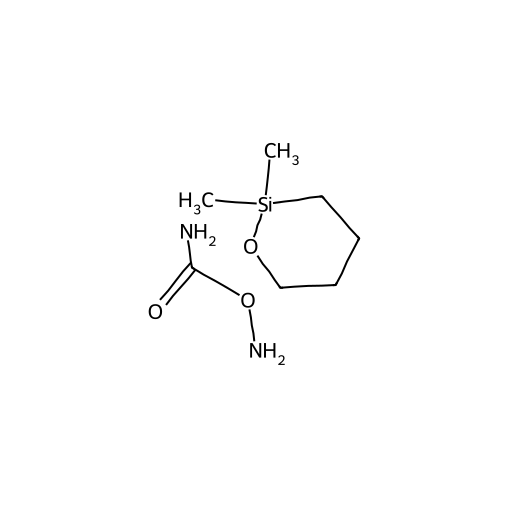 C[Si]1(C)CCCCO1.NOC(N)=O